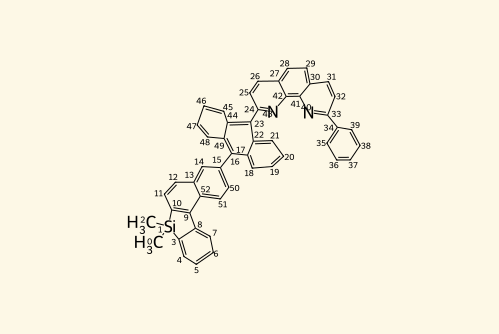 C[Si]1(C)c2ccccc2-c2c1ccc1cc(-c3c4ccccc4c(-c4ccc5ccc6ccc(-c7ccccc7)nc6c5n4)c4ccccc34)ccc21